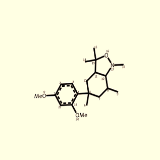 COc1ccc(C2(C)CC(C)C3C(C2)C(C)(C)ON3C)c(OC)c1